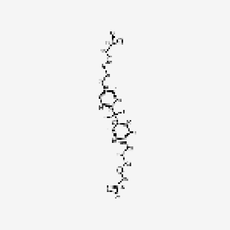 CC(C)(c1ccc(CCCOCC2CO2)cc1)c1ccc(CCCOCC2CO2)cc1